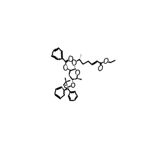 CCOC(=O)/C=C/CC[C@@H](C)O[C@@H]1O[C@@H](C)[C@H](O[Si](c2ccccc2)(c2ccccc2)C(C)(C)C)C[C@H]1OC(=O)c1ccccc1